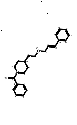 O=C(c1ccccc1)N1CCC(CCOC/C=C/c2ccccc2)CC1